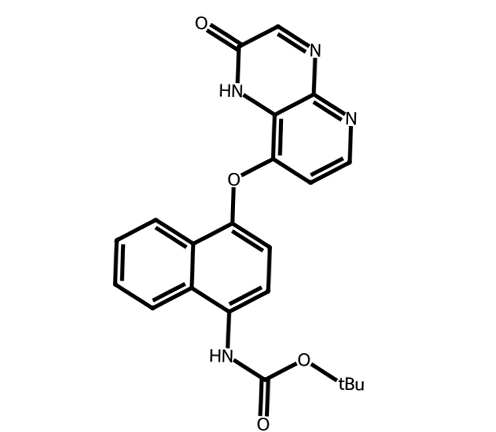 CC(C)(C)OC(=O)Nc1ccc(Oc2ccnc3ncc(=O)[nH]c23)c2ccccc12